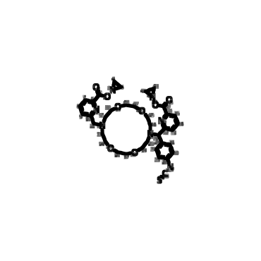 O=C(ON1CC1)c1cccc(CN2CCOCCOCCN(C(c3ccc(N=C=S)cc3)c3cccc(C(=O)ON4CC4)n3)CCOCCOCC2)n1